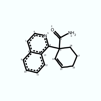 NC(=O)C1(c2nccc3ccccc23)C=CCCC1